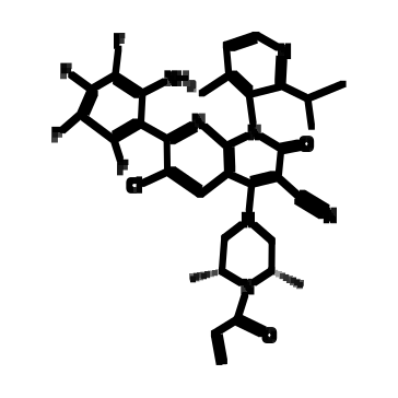 C=CC(=O)N1[C@H](C)CN(c2c(C#N)c(=O)n(-c3c(C)ccnc3C(C)C)c3nc(-c4c(N)c(F)c(F)c(F)c4F)c(Cl)cc23)C[C@@H]1C